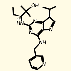 CC[C@H](Nc1nc(NCc2cccnc2)c2c(n1)C(C(C)C)C=N2)C(C)(C)O